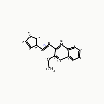 COc1nc2ccccc2nc1/C=C/C1C=CSC1